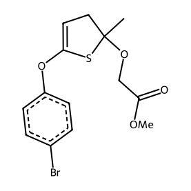 COC(=O)COC1(C)CC=C(Oc2ccc(Br)cc2)S1